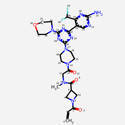 C=CC(=O)N1CC(C(=O)N(C)CC(=O)N2CCN(c3nc(-c4cnc(N)nc4C(F)F)nc(N4CCOCC4)n3)CC2)C1